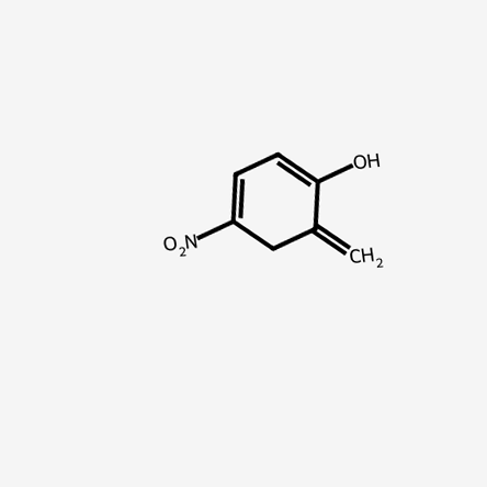 C=C1CC([N+](=O)[O-])=CC=C1O